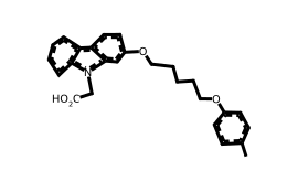 Cc1ccc(OCCCCCOc2ccc3c4ccccc4n(CC(=O)O)c3c2)cc1